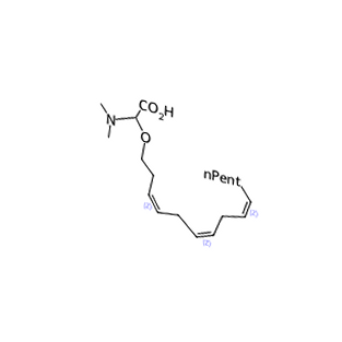 CCCCC/C=C\C/C=C\C/C=C\CCOC(C(=O)O)N(C)C